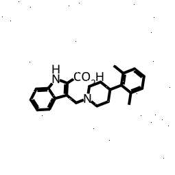 Cc1cccc(C)c1C1CCN(Cc2c(C(=O)O)[nH]c3ccccc23)CC1